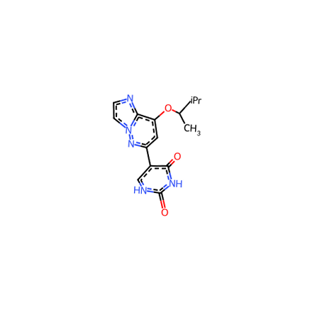 CC(C)C(C)Oc1cc(-c2c[nH]c(=O)[nH]c2=O)nn2ccnc12